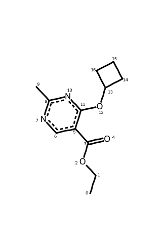 CCOC(=O)c1cnc(C)nc1OC1CCC1